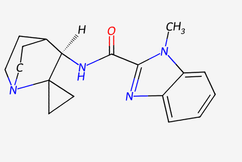 Cn1c(C(=O)N[C@@H]2C3CCN(CC3)C23CC3)nc2ccccc21